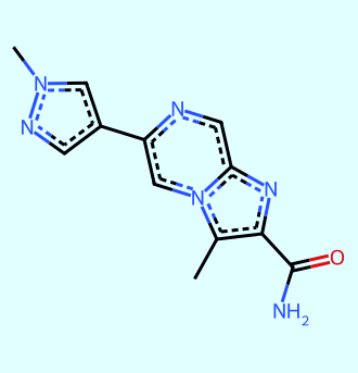 Cc1c(C(N)=O)nc2cnc(-c3cnn(C)c3)cn12